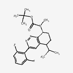 CC(C)C1CCC(N(C)C(=O)OC(C)(C)C)c2nnc(-c3c(F)cccc3F)cc21